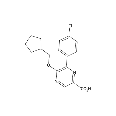 O=C(O)c1cnc(OCC2CCCC2)c(-c2ccc(Cl)cc2)n1